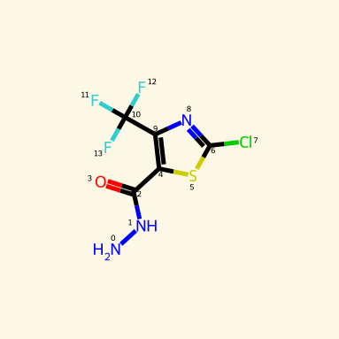 NNC(=O)c1sc(Cl)nc1C(F)(F)F